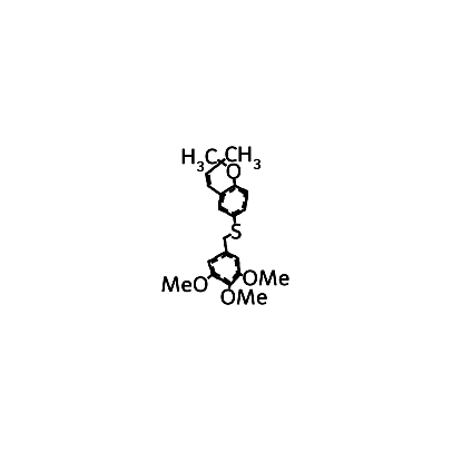 COc1cc(CSc2ccc3c(c2)C=CC(C)(C)O3)cc(OC)c1OC